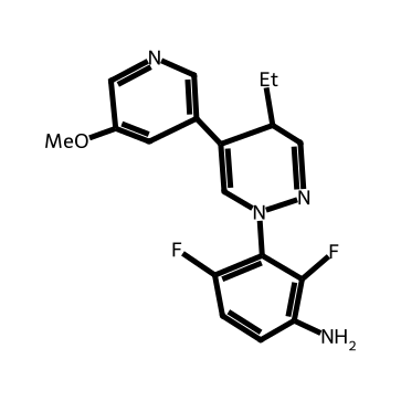 CCC1C=NN(c2c(F)ccc(N)c2F)C=C1c1cncc(OC)c1